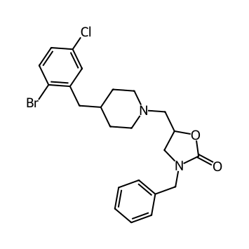 O=C1OC(CN2CCC(Cc3cc(Cl)ccc3Br)CC2)CN1Cc1ccccc1